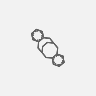 c1ccc2c(c1)CC1CCC(C2)Cc2ccccc2C1